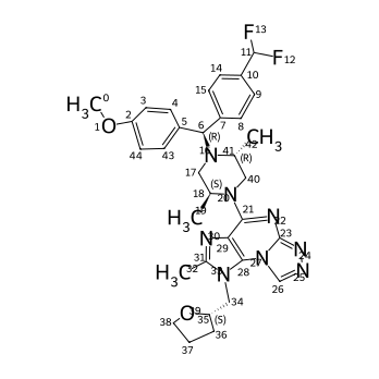 COc1ccc([C@@H](c2ccc(C(F)F)cc2)N2C[C@H](C)N(c3nc4nncn4c4c3nc(C)n4C[C@@H]3CCCO3)C[C@H]2C)cc1